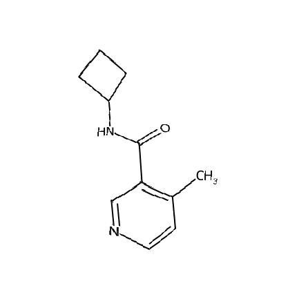 Cc1ccncc1C(=O)NC1CCC1